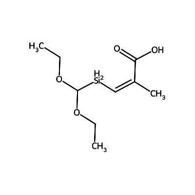 CCOC(OCC)[SiH2]C=C(C)C(=O)O